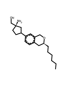 CCCCCC[C@H]1Cc2ccc(C3CC[C@](N)(CO)C3)cc2CO1